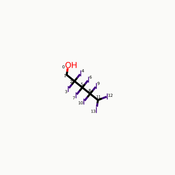 OCC(I)(I)C(I)(I)C(I)(I)C(I)I